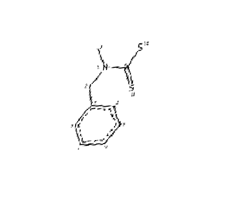 CN(Cc1ccccc1)C([S])=S